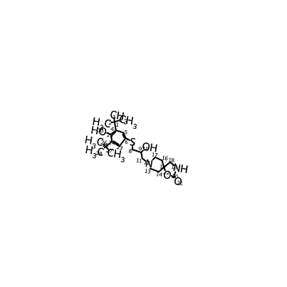 CC(C)(C)c1cc(SCC(O)CN2CCC3(CC2)CNC(=O)O3)cc(C(C)(C)C)c1O